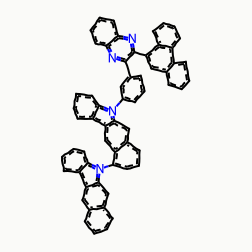 c1cc(-c2nc3ccccc3nc2-c2cc3ccccc3c3ccccc23)cc(-n2c3ccccc3c3cc4c(-n5c6ccccc6c6cc7ccccc7cc65)cccc4cc32)c1